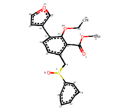 CC(C)(C)OC(=O)c1c(C[S+]([O-])c2ccccc2)ccc(-c2ccoc2)c1OCC#N